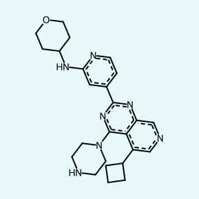 c1cc(-c2nc(N3CCNCC3)c3c(C4CCC4)cncc3n2)cc(NC2CCOCC2)n1